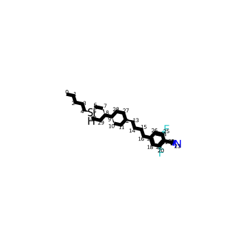 CCCCC[Si@H]1CC[C@H]([C@H]2CC[C@H](CCCCc3cc(F)c(C#N)c(F)c3)CC2)CC1